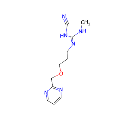 CNC(=NCCCOCc1ncccn1)NC#N